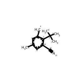 Cc1cc(C)c(C(C)(C)C)c(C#N)c1